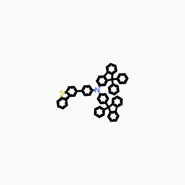 c1ccc(C2(c3ccc(N(c4ccc(-c5ccc6sc7ccccc7c6c5)cc4)c4ccc5c(c4)C(c4ccccc4)(c4ccccc4)c4ccccc4-5)cc3)c3ccccc3-c3ccccc32)cc1